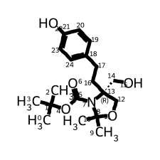 CC(C)(C)OC(=O)N1C(C)(C)OC[C@]1(CO)CCc1ccc(O)cc1